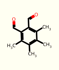 Cc1c(C)c(C)c(C=O)c(C=O)c1C